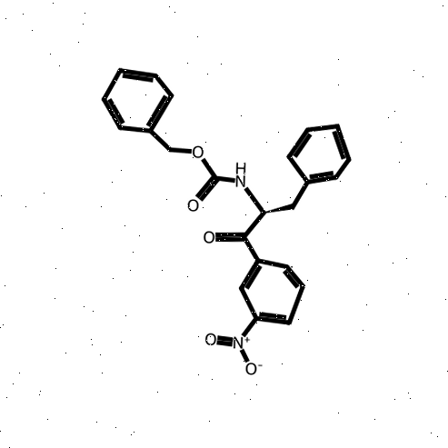 O=C(N[C@@H](Cc1ccccc1)C(=O)c1[c]ccc([N+](=O)[O-])c1)OCc1ccccc1